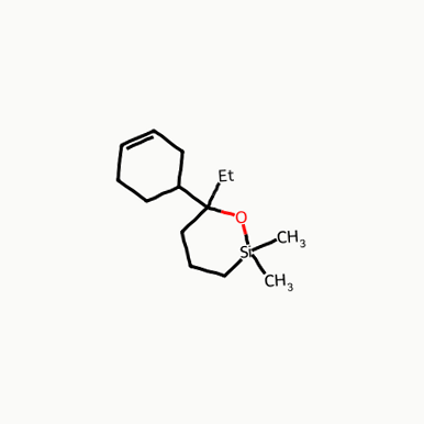 CCC1(C2CC=CCC2)CCC[Si](C)(C)O1